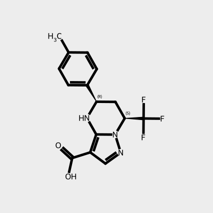 Cc1ccc([C@H]2C[C@@H](C(F)(F)F)n3ncc(C(=O)O)c3N2)cc1